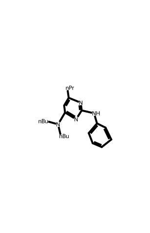 CCCCN(CCCC)c1cc(CCC)nc(Nc2ccccc2)n1